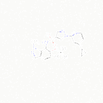 [2H]C([2H])([2H])Oc1ccc2cnn(C)c2c1NS(=O)(=O)c1cnn(-c2cc(C3CC3)ccn2)c1